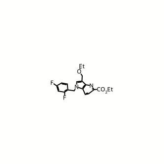 CCOCc1cn(Cc2ccc(F)cc2F)c2ccc(C(=O)OCC)nc12